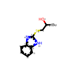 CC(C)(C)C(O)CSc1nc2ccccc2[nH]1